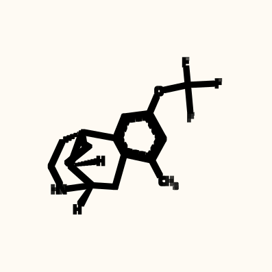 Cc1cc(OC(F)(F)F)cc2c1C[C@@H]1NCC[C@]23CCCC[C@H]13